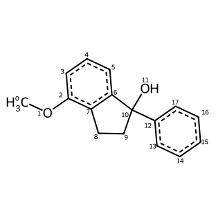 COc1cccc2c1CCC2(O)c1ccccc1